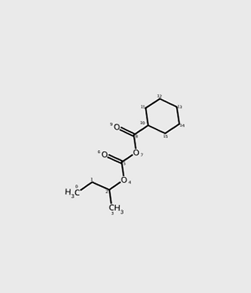 CCC(C)OC(=O)OC(=O)C1CCCCC1